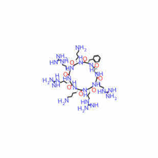 N=C(N)NCCC[C@@H]1NC(=O)[C@H](CCCNC(=N)N)NC(=O)[C@H](CCCCN)NC(=O)[C@H](CCCNC(=N)N)NC(=O)[C@H](CCCNC(=N)N)NC(=O)[C@H](CCCCN)NC(=O)[C@@H](Cc2ccccc2)NC(=O)CNC1=O